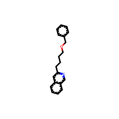 c1ccc(COCCCCc2cc3ccccc3cn2)cc1